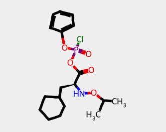 CC(C)ON[C@@H](CC1CCCCC1)C(=O)OP(=O)(Cl)Oc1ccccc1